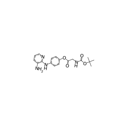 CC(C)(C)OC(=O)NCC(=O)Oc1ccc(Nc2ncccc2N)cc1